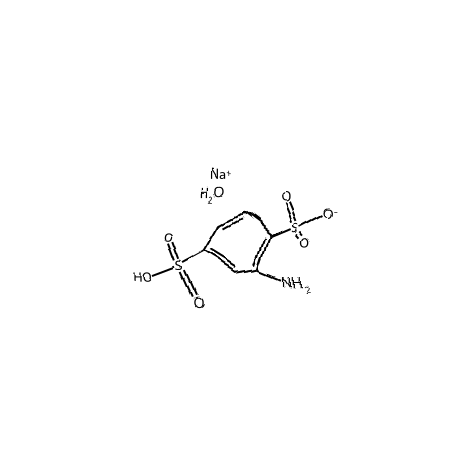 Nc1cc(S(=O)(=O)O)ccc1S(=O)(=O)[O-].O.[Na+]